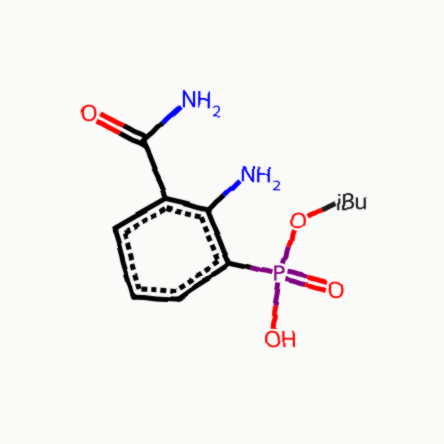 CCC(C)OP(=O)(O)c1cccc(C(N)=O)c1N